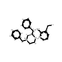 ICc1cccnc1S[C@@H](c1ccccc1)[C@@H]1CN(Cc2ccccc2)CCO1